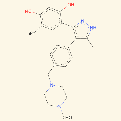 Cc1[nH]nc(-c2cc(C(C)C)c(O)cc2O)c1-c1ccc(CN2CCN(C=O)CC2)cc1